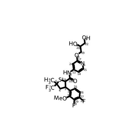 COc1c(C2CC(C)(C(F)(F)F)SC2C(=O)Nc2ccnc(OCC(O)CO)c2)ccc(F)c1F